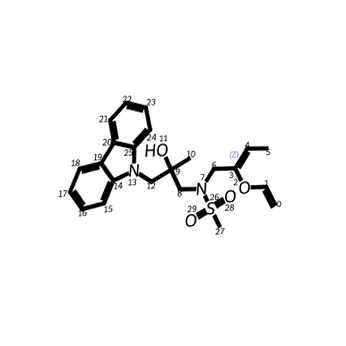 C=CO/C(=C\C)CN(CC(C)(O)Cn1c2ccccc2c2ccccc21)S(C)(=O)=O